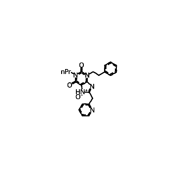 CCCn1c(=O)c2c(n(CCc3ccccc3)c1=O)N=C(Cc1ccccn1)[NH+]2[O-]